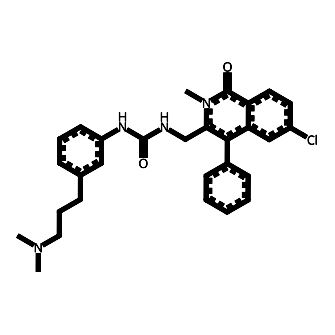 CN(C)CCCc1cccc(NC(=O)NCc2c(-c3ccccc3)c3cc(Cl)ccc3c(=O)n2C)c1